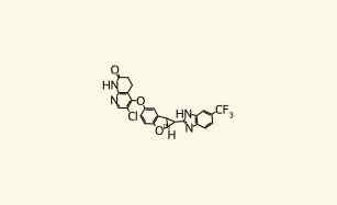 O=C1CCc2c(ncc(Cl)c2Oc2ccc3c(c2)C2C(c4nc5ccc(C(F)(F)F)cc5[nH]4)[C@H]2O3)N1